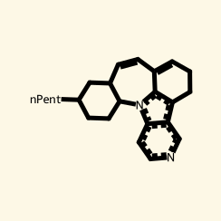 CCCCCC1CCC2C(C=CC3=CCCc4c3n2c2ccncc42)C1